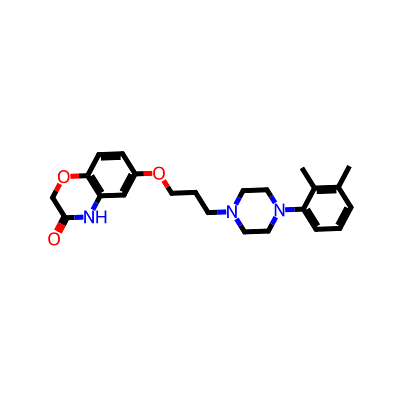 Cc1cccc(N2CCN(CCCOc3ccc4c(c3)NC(=O)CO4)CC2)c1C